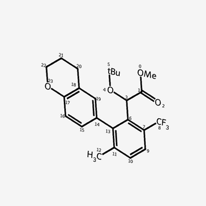 COC(=O)C(OC(C)(C)C)c1c(C(F)(F)F)ccc(C)c1-c1ccc2c(c1)CCCO2